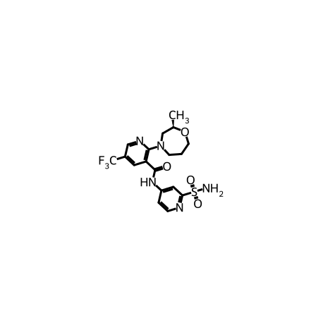 C[C@@H]1CN(c2ncc(C(F)(F)F)cc2C(=O)Nc2ccnc(S(N)(=O)=O)c2)CCCO1